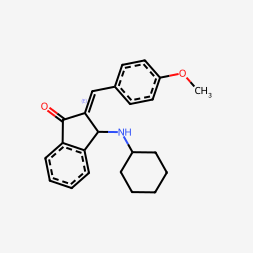 COc1ccc(/C=C2/C(=O)c3ccccc3C2NC2CCCCC2)cc1